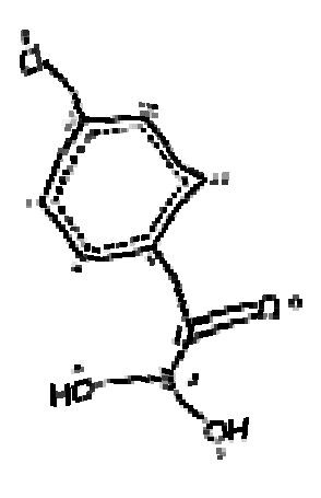 O=C(B(O)O)c1ccc(Cl)cc1